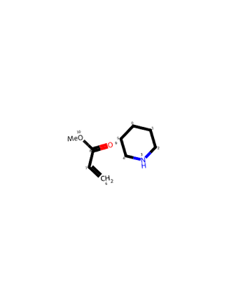 C1CCNCC1.C=CC(=O)OC